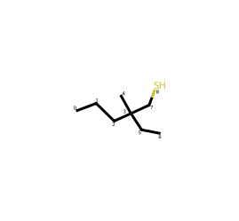 CCCC(C)(CC)CS